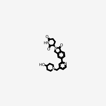 O=C1CCC(N2Cc3cc(-c4cc(CN5CCC(O)CC5)ccn4)ccc3C2=O)C(=O)N1